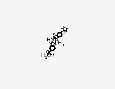 Cn1c(Nc2nc3ccc(OC(F)(F)F)cc3s2)nc2cc(S(C)(=O)=O)ccc21